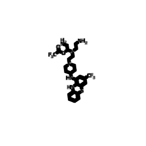 NCCN(CCN1CCC(Nc2cc(C(F)(F)F)cc3c2Nc2ccccc2S3)CC1)C(CN)OC(=O)C(F)(F)F